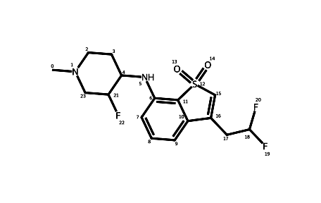 CN1CCC(Nc2cccc3c2S(=O)(=O)C=C3CC(F)F)C(F)C1